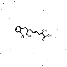 COc1ccccc1CC(CO)CC=CCC(O)C(=O)O